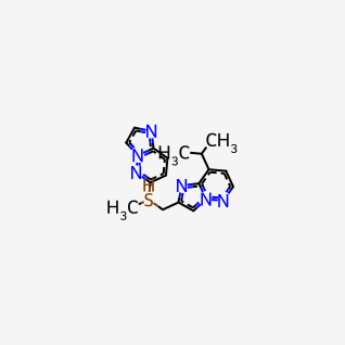 CC(C)c1ccnn2cc(C[SH](C)c3ccc4nccn4n3)nc12